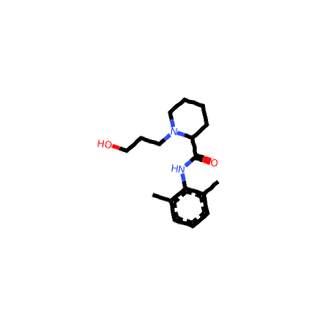 Cc1cccc(C)c1NC(=O)C1CCCCN1CCCO